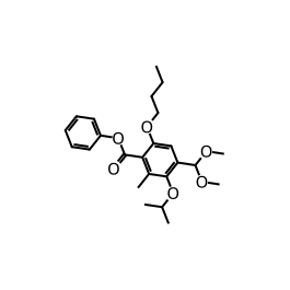 CCCCOc1cc(C(OC)OC)c(OC(C)C)c(C)c1C(=O)Oc1ccccc1